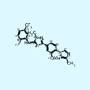 COc1cc(-c2nc(Nc3cc(C(F)(F)F)ccc3F)n(C)n2)ccc1-n1cnc(C)c1